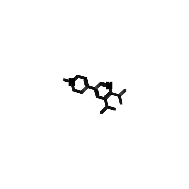 CC(C)c1cc(C2=CCN(C)CC2)cnc1C(C)C